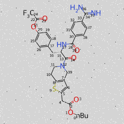 CCCCOC(=O)Cc1cc2c(s1)CCN(C(=O)[C@H](Cc1ccc(OC(=O)C(F)(F)F)cc1)NC(=O)c1ccc(C(=N)N)cc1)C2